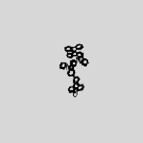 c1ccc(-n2c3ccc(-c4ccc5c(c4)c4cccc6oc7cccc5c7c64)cc3c3cc(-n4c5ccccc5c5ccc6c(c54)-c4ccccc4C64c5ccccc5-c5ccccc54)ccc32)cc1